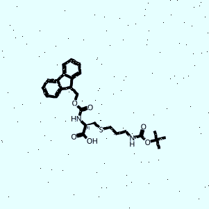 CC(C)(C)OC(=O)NCCCSC[C@H](NC(=O)OCC1c2ccccc2-c2ccccc21)C(=O)O